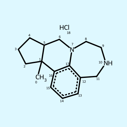 CC12CCCC1CN1CCNCc3cccc2c31.Cl